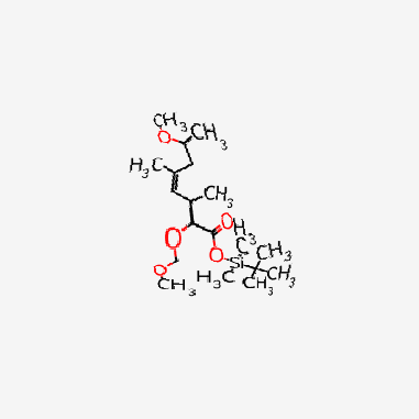 COCOC(C(=O)O[Si](C)(C)C(C)(C)C)C(C)C=C(C)CC(C)OC